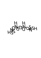 O=C(COCC(=O)Nc1ccc2nc(S)sc2c1)Nc1ccc2nc(S)sc2c1